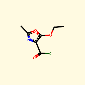 CCOc1oc(C)nc1C(=O)Cl